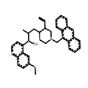 C=CC1CN(Cc2c3ccccc3cc3ccccc23)CCC1CC(C)C(O)c1ccnc2ccc(OC)cc12